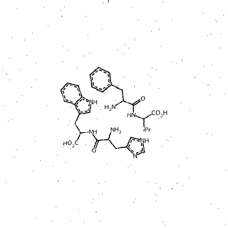 CC(C)C(NC(=O)C(N)Cc1ccccc1)C(=O)O.NC(Cc1c[nH]cn1)C(=O)NC(Cc1c[nH]c2ccccc12)C(=O)O